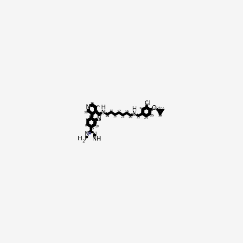 N=N/C(=N\P)c1ccc2c(c1)nc(NCCCCCCCNCc1ccc(OC3CC3)c(Cl)c1)c1ccncc12